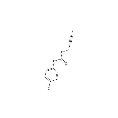 O=C(OCC#CI)Oc1ccc(Cl)cc1